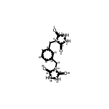 O=c1[nH][nH]c(=O)n1Cc1cccc(Cn2c(=O)[nH][nH]c2=O)c1